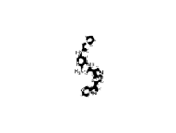 Cc1ncc(NC(=O)CN2CCCC2)cc1NC(=O)c1cnn2cc(-c3cnn4c3COCC4)sc12